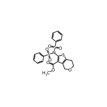 COC(=O)c1c(N(S(=O)(=O)c2ccccc2)S(=O)(=O)c2ccccc2)sc2c1COCC2